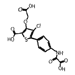 O=C(O)COc1c(C(=O)O)sc(-c2ccc(NC(=O)C(=O)O)cc2)c1Cl